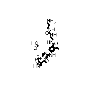 CCc1cc(Nc2nccn3c(-c4c[nH]nc4C(F)(F)F)cnc23)ccc1C(=O)NCCNC(=O)NCCCN.O=CO